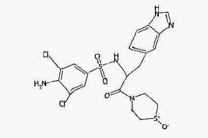 Nc1c(Cl)cc(S(=O)(=O)NC(Cc2ccc3[nH]cnc3c2)C(=O)N2CC[S+]([O-])CC2)cc1Cl